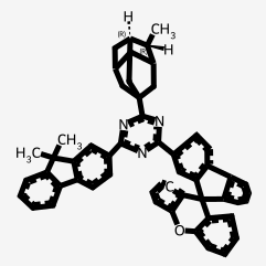 C[C@@H]1C2CC3C[C@@H]1CC(c1nc(-c4ccc5c(c4)C(C)(C)c4ccccc4-5)nc(-c4ccc5c(c4)C4(c6ccccc6Oc6ccccc64)c4ccccc4-5)n1)(C3)C2